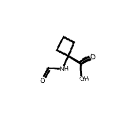 O=[C]NC1(C(=O)O)CCC1